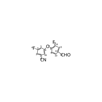 N#Cc1cc(F)cc(Oc2ccc(C=O)cc2F)c1